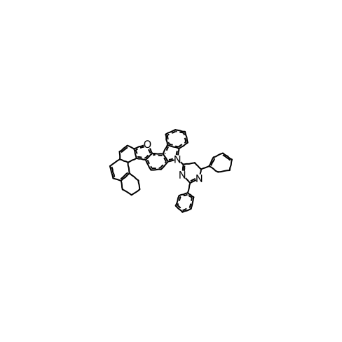 C1=CCCC(C2CC(n3c4ccccc4c4c5oc6c(c5ccc43)C3C4=C(C=CC3C=C6)CCCC4)=NC(c3ccccc3)=N2)=C1